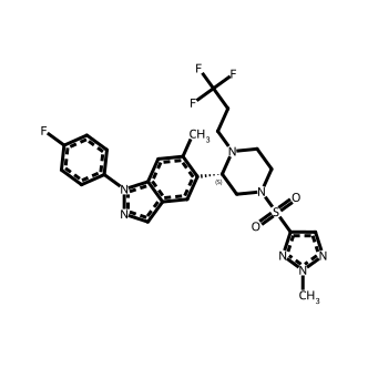 Cc1cc2c(cnn2-c2ccc(F)cc2)cc1[C@H]1CN(S(=O)(=O)c2cnn(C)n2)CCN1CCC(F)(F)F